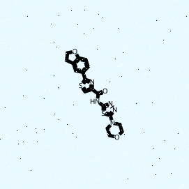 O=C(Nc1nnc(N2CCOCC2)s1)c1csc(-c2ccc3c(c2)CCO3)n1